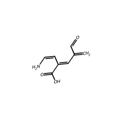 C=C(C=O)/C=C(\C=C/N)C(=O)O